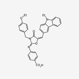 CCOc1ccc(CN2C(=O)/C(=C\c3ccc4c(c3)c3ccccc3n4CC)O/C2=N\c2ccc(C(=O)O)cc2)cc1